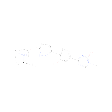 Cn1cnc(-c2ccc(-c3ccc(O[C@H]4C[C@]5(C)CC[C@](C)(C4)N5)nn3)c(O)c2)nc1=O